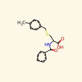 Cc1ccc(CSCC(NC(=O)c2ccccc2)C(=O)O)cc1